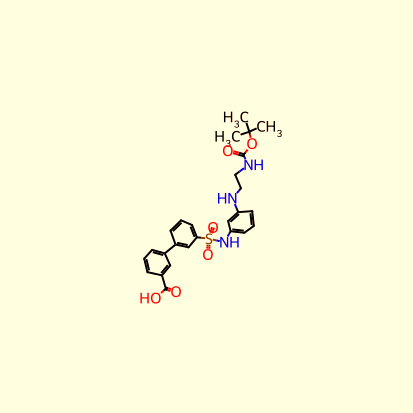 CC(C)(C)OC(=O)NCCNc1cccc(NS(=O)(=O)c2cccc(-c3cccc(C(=O)O)c3)c2)c1